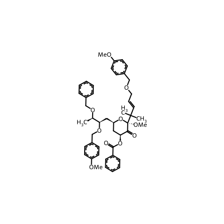 COc1ccc(COC/C=C/C(C)(C)[C@]2(OC)O[C@H](C[C@@H](OCc3ccc(OC)cc3)[C@@H](C)OCc3ccccc3)C[C@H](OC(=O)c3ccccc3)C2=O)cc1